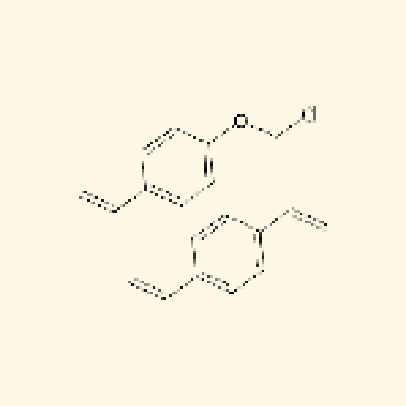 C=Cc1ccc(C=C)cc1.C=Cc1ccc(OCCl)cc1